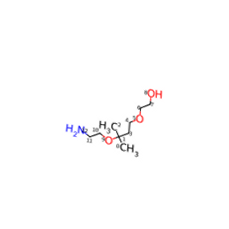 CC(C)(CCOCCO)OCCN